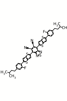 CC(C)CCc1ccc(-c2cc3sc(-c4c(C#N)c(C#N)c(-c5cc6sc(-c7ccc(CCC(C)C)cc7F)cc6s5)c5nsnc45)cc3s2)c(F)c1